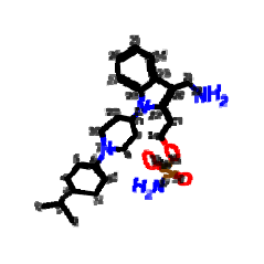 CC(C)[C@H]1CC[C@@H](N2CCC(n3c(CCOS(N)(=O)=O)c(CN)c4ccccc43)CC2)CC1